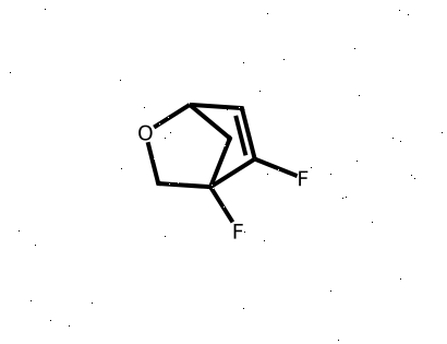 FC1=CC2CC1(F)CO2